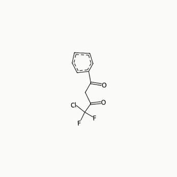 O=C(CC(=O)C(F)(F)Cl)c1ccccc1